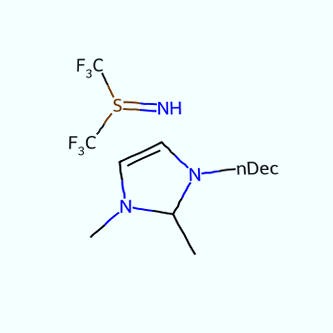 CCCCCCCCCCN1C=CN(C)C1C.N=S(C(F)(F)F)C(F)(F)F